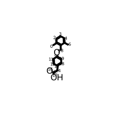 Cc1cccc(C)c1COc1ccc(CC(=O)O)cc1